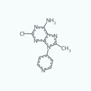 Cc1nc2c(N)nc(Cl)nc2n1-c1ccncc1